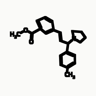 COC(=O)c1cccc(C=CC(c2ccc(C)cc2)N2CCCC2)c1